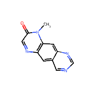 Cn1c(=O)cnc2cc3[c]ncnc3cc21